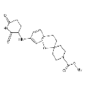 CC(C)(C)OC(=O)N1CCC2(CCc3ccc(NC4CCC(=O)NC4=O)cc3O2)CC1